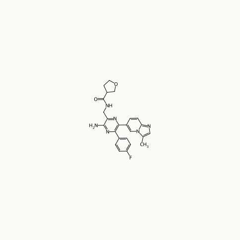 Cc1cnc2ccc(-c3nc(CNC(=O)C4CCOC4)c(N)nc3-c3ccc(F)cc3)cn12